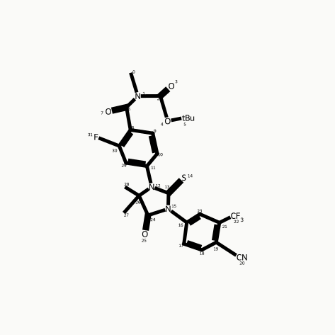 CN(C(=O)OC(C)(C)C)C(=O)c1ccc(N2C(=S)N(c3ccc(C#N)c(C(F)(F)F)c3)C(=O)C2(C)C)cc1F